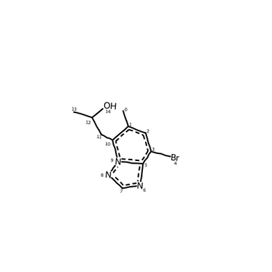 Cc1cc(Br)c2ncnn2c1CC(C)O